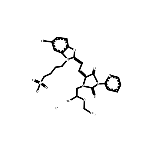 CCOC(O)CN1C(=S)N(c2ccccn2)C(=O)C1=CC=C1Oc2ccc(Cl)cc2N1CCCCS(=O)(=O)[O-].[K+]